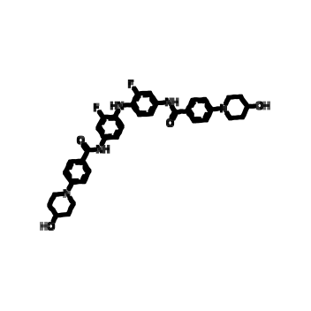 O=C(Nc1ccc(Nc2ccc(NC(=O)c3ccc(N4CCC(O)CC4)cc3)cc2F)c(F)c1)c1ccc(N2CCC(O)CC2)cc1